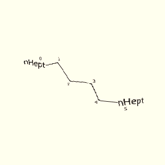 CCC[CH]CCCCCCCCCCCCCC